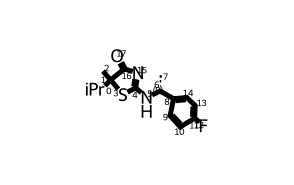 CC(C)C1(C)SC(N[C@H](C)c2ccc(F)cc2)=NC1=O